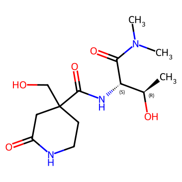 C[C@@H](O)[C@H](NC(=O)C1(CO)CCNC(=O)C1)C(=O)N(C)C